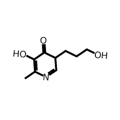 CC1=C(O)C(=O)C(CCCO)C=N1